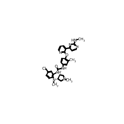 CNc1nccc(-c2cccnc2Oc2ccc(NC(=O)Nc3cc(Cl)ccc3N(C)[C@@H]3CCN(C)C3)cc2C)n1